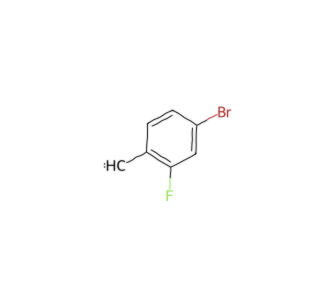 [CH]c1ccc(Br)cc1F